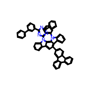 c1ccc(-c2cccc(-c3nc(-c4ccccc4)nc(-n4c5ccccc5c5cc(-c6ccc7c8ccccc8c8ccccc8c7c6)c6c7ccccc7n(-c7ccccc7)c6c54)n3)c2)cc1